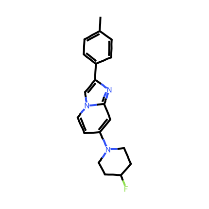 Cc1ccc(-c2cn3ccc(N4CCC(F)CC4)cc3n2)cc1